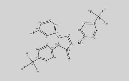 O=C1C(Nc2ccc(C(F)(F)F)cc2)=CC(c2cccc(I)c2)N1c1ccc(C(F)(F)F)cc1